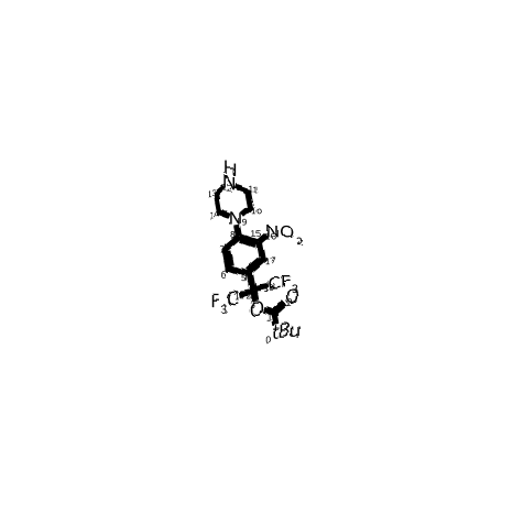 CC(C)(C)C(=O)OC(c1ccc(N2CCNCC2)c([N+](=O)[O-])c1)(C(F)(F)F)C(F)(F)F